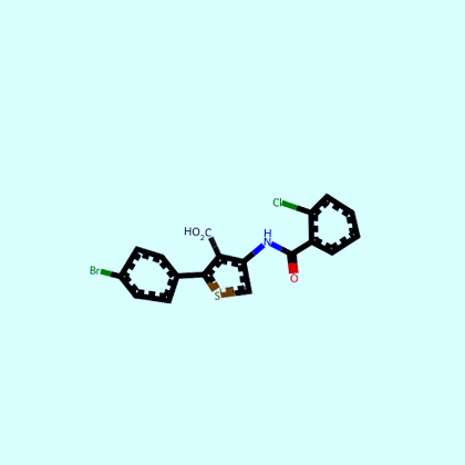 O=C(Nc1csc(-c2ccc(Br)cc2)c1C(=O)O)c1ccccc1Cl